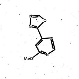 COc1cc(-c2nnco2)ccn1